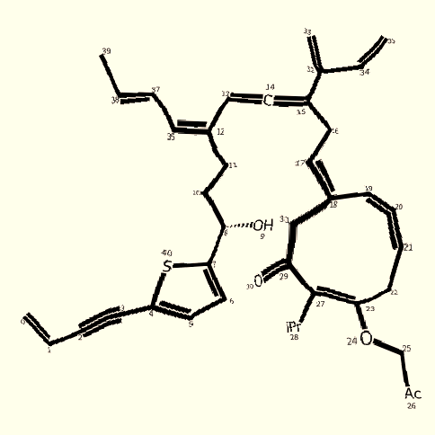 C=CC#Cc1ccc([C@@H](O)CC/C(C=C=C(C/C=C2\C=C=CC/C(OCC(C)=O)=C(/C(C)C)C(=O)C2)C(=C)C=C)=C/C=C/C)s1